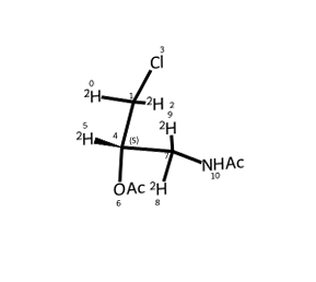 [2H]C([2H])(Cl)[C@@]([2H])(OC(C)=O)C([2H])([2H])NC(C)=O